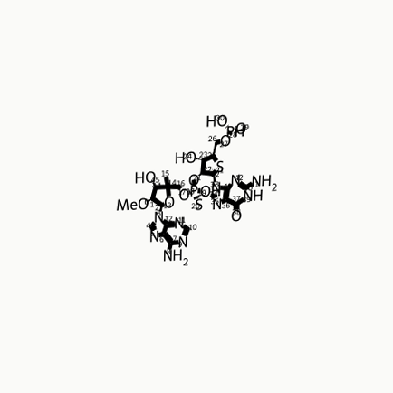 CO[C@H]1[C@H](n2cnc3c(N)ncnc32)OC(C)(COP(O)(=S)O[C@@H]2[C@H](O)[C@@H](CO[PH](=O)O)S[C@H]2n2cnc3c(=O)[nH]c(N)nc32)[C@H]1O